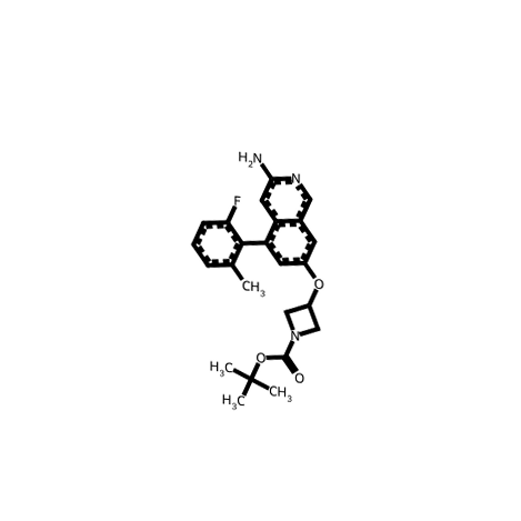 Cc1cccc(F)c1-c1cc(OC2CN(C(=O)OC(C)(C)C)C2)cc2cnc(N)cc12